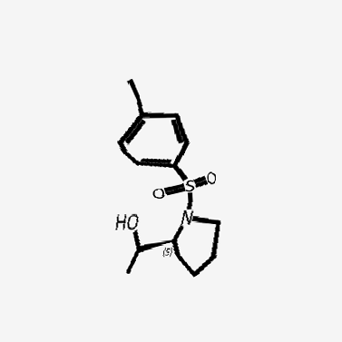 Cc1ccc(S(=O)(=O)N2CCC[C@H]2C(C)O)cc1